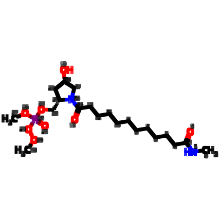 CNC(=O)CCCCCCCCCCC(=O)N1C[C@H](O)C[C@H]1COP(=O)(OC)OOC